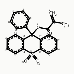 C=C(C)C(=O)OC1(c2ccccc2)c2ccccc2S(=O)(=O)c2ccccc21